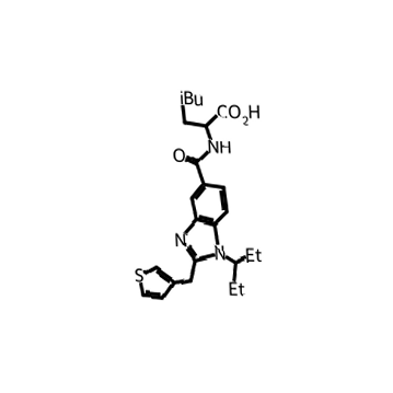 CCC(C)CC(NC(=O)c1ccc2c(c1)nc(Cc1ccsc1)n2C(CC)CC)C(=O)O